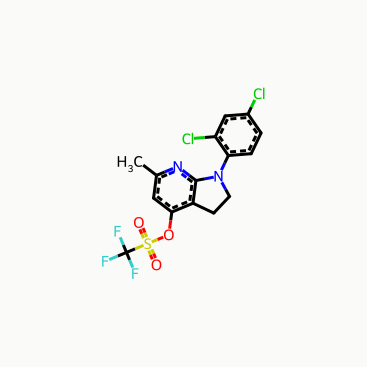 Cc1cc(OS(=O)(=O)C(F)(F)F)c2c(n1)N(c1ccc(Cl)cc1Cl)CC2